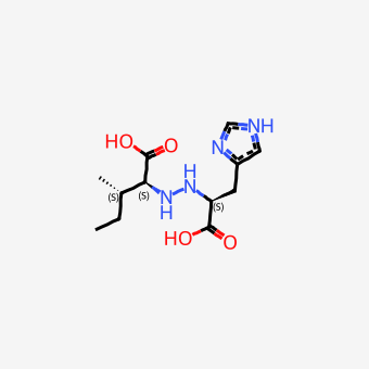 CC[C@H](C)[C@H](NN[C@@H](Cc1c[nH]cn1)C(=O)O)C(=O)O